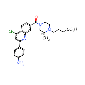 C[C@@H]1CN(C(=O)c2ccc3c(Cl)cc(-c4ccc(N)cc4)nc3c2)CCN1CCCC(=O)O